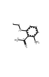 CCOc1cccc(N)c1C(N)=O